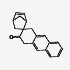 O=C1Cc2cc3ccccc3cc2CC12CC1C=CC2C1